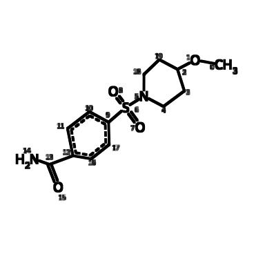 COC1CCN(S(=O)(=O)c2ccc(C(N)=O)cc2)CC1